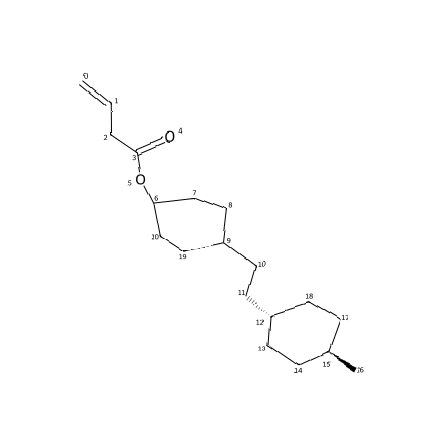 C=CCC(=O)OC1CCC(CC[C@H]2CC[C@H](C)CC2)CC1